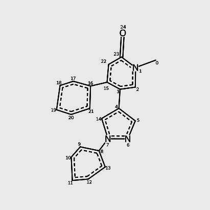 Cn1cc(-c2cnn(-c3ccccc3)c2)c(-c2ccccc2)cc1=O